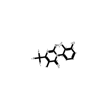 Cc1c(C(F)(F)F)nc(N)n(-c2cccc(Cl)c2Cl)c1=O